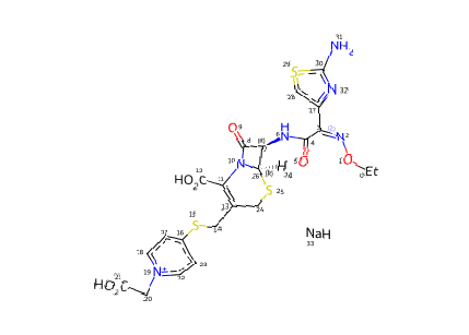 CCO/N=C(\C(=O)N[C@@H]1C(=O)N2C(C(=O)O)=C(CSc3cc[n+](CC(=O)O)cc3)CS[C@H]12)c1csc(N)n1.[NaH]